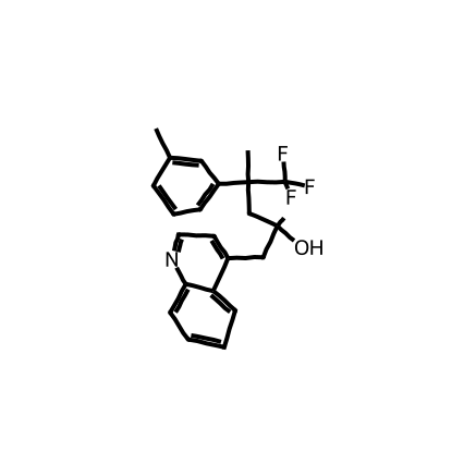 Cc1cccc(C(C)(CC(C)(O)Cc2ccnc3ccccc23)C(F)(F)F)c1